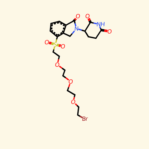 O=C1CCC(N2Cc3c(cccc3S(=O)(=O)CCOCCOCCOCCBr)C2=O)C(=O)N1